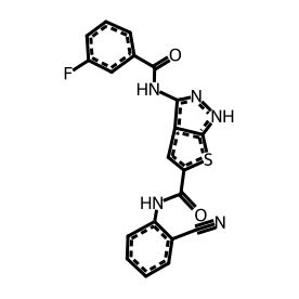 N#Cc1ccccc1NC(=O)c1cc2c(NC(=O)c3cccc(F)c3)n[nH]c2s1